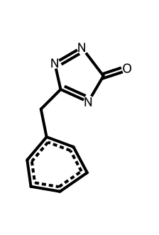 O=C1N=NC(Cc2ccccc2)=N1